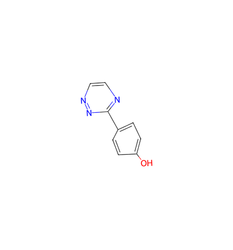 Oc1ccc(-c2nccnn2)cc1